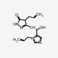 C=CCC1C(=O)NN=C1C.C=CCn1cncc1CO